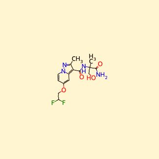 Cc1nn2ccc(OCC(F)F)cc2c1C(=O)NC(C)(CO)C(N)=O